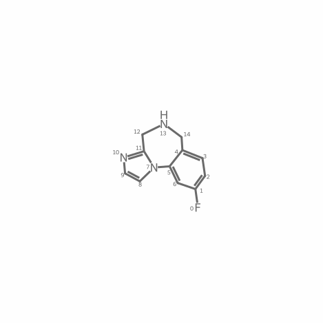 Fc1ccc2c(c1)-n1ccnc1CNC2